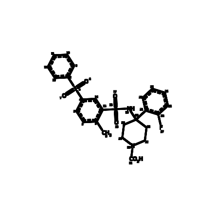 Cc1ccc(S(=O)(=O)c2ccccc2)cc1S(=O)(=O)NC1(c2ccccc2F)CCN(C(=O)O)CC1